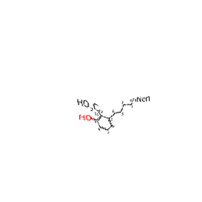 CCCCCCCCCCCCCc1cccc(O)c1C(=O)O